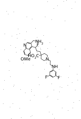 COc1ccc2ncc(CN)c(C(F)CCC3(C(=O)O)CCN(CCNc4cc(F)cc(F)c4)CC3)c2c1